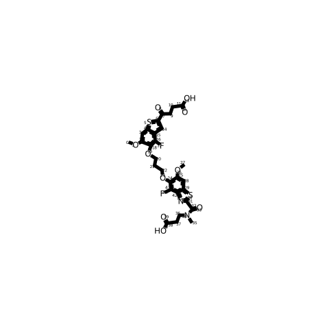 COc1cc2sc(C(=O)CCC(=O)O)cc2c(F)c1OCCCOc1c(OC)cc2sc(C(=O)N(C)CCC(=O)O)nc2c1F